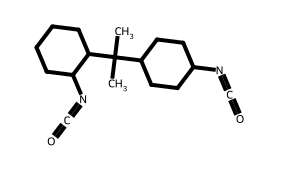 CC(C)(C1CCC(N=C=O)CC1)C1CCCCC1N=C=O